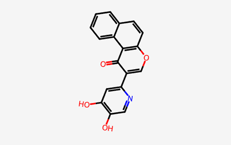 O=c1c(-c2cc(O)c(O)cn2)coc2ccc3ccccc3c12